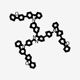 c1ccc2c(c1)oc1cc(-c3ccc4c5ccccc5n(-c5ccc(-c6ccc7nc(-c8ccc(-n9c%10ccccc%10c%10ccc(-c%11ccc%12c(c%11)oc%11ccccc%11%12)cc%109)cc8)nc(-c8ccc9cc(-n%10c%11ccccc%11c%11ccc(-c%12ccc%13c(c%12)oc%12ccccc%12%13)cc%11%10)ccc9c8)c7c6)cc5)c4c3)ccc12